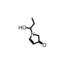 CCC(O)N1C=CC(=O)C1